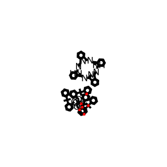 CC(C)(c1ccccc1)c1ccccc1[O][Co]([O]c1ccccc1C(C)(C)c1ccccc1)([O]c1ccccc1C(C)(C)c1ccccc1)[O]c1ccccc1C(C)(C)c1ccccc1.c1ccc2c(c1)-c1nc-2nc2[nH]c(nc3nc(nc4[nH]c(n1)c1ccccc41)-c1ccccc1-3)c1ccccc21